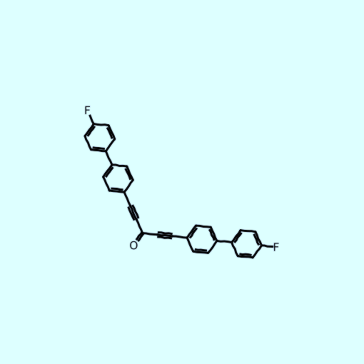 O=C(C#Cc1ccc(-c2ccc(F)cc2)cc1)C#Cc1ccc(-c2ccc(F)cc2)cc1